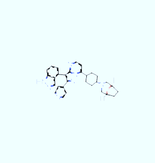 c1cc(-c2c(-c3ccncc3)nn3c(C4CCC(N5C[C@H]6CC[C@H](C5)O6)CC4)ccnc23)c2cn[nH]c2c1